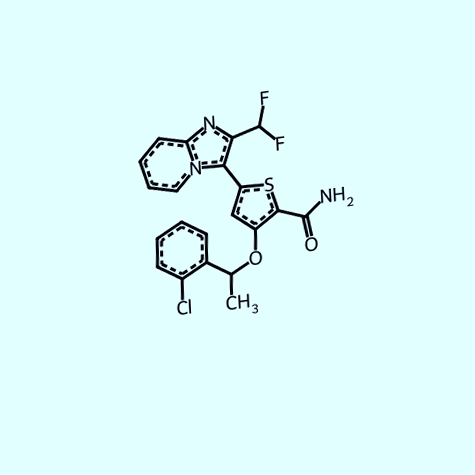 CC(Oc1cc(-c2c(C(F)F)nc3ccccn23)sc1C(N)=O)c1ccccc1Cl